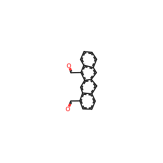 O=Cc1cccc2cc3cc4ccccc4c(C=O)c3cc12